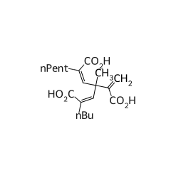 C=C(C(=O)O)C(C)(C=C(CCCC)C(=O)O)C=C(CCCCC)C(=O)O